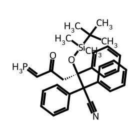 CC(C)(C)[Si](C)(C)O[C@@](CC(=O)C=[PH3])(c1ccccc1)C(C#N)(c1ccccc1)c1ccccc1